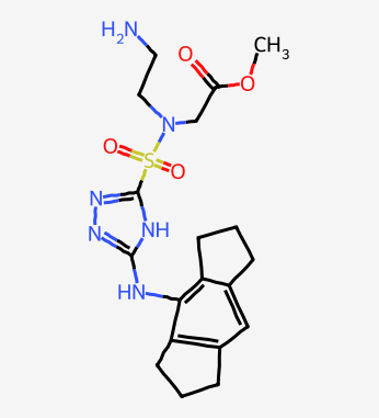 COC(=O)CN(CCN)S(=O)(=O)c1nnc(Nc2c3c(cc4c2CCC4)CCC3)[nH]1